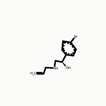 C=CCNC[C@H](O)c1ccc(Br)cc1